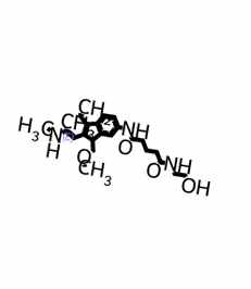 C=CC1=C(/C=C(\C)NC)C(COC)c2cc(NC(=O)CCCC(=O)NCCO)ccc21